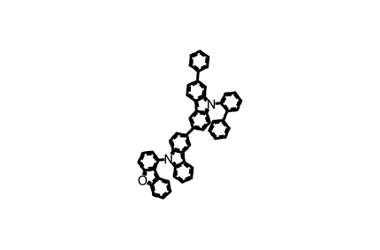 c1ccc(-c2ccc3c4cc(-c5ccc6c(c5)c5ccccc5n6-c5cccc6oc7ccccc7c56)ccc4n(-c4ccccc4-c4ccccc4)c3c2)cc1